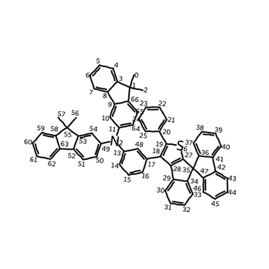 CC1(C)c2ccccc2-c2cc(N(c3cccc(-c4c(-c5ccccc5)sc5c4-c4ccccc4C54c5ccccc5-c5ccccc54)c3)c3ccc4c(c3)C(C)(C)c3ccccc3-4)ccc21